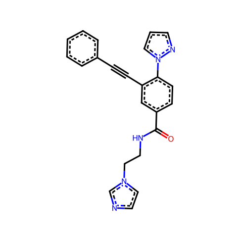 O=C(NCCn1ccnc1)c1ccc(-n2cccn2)c(C#Cc2ccccc2)c1